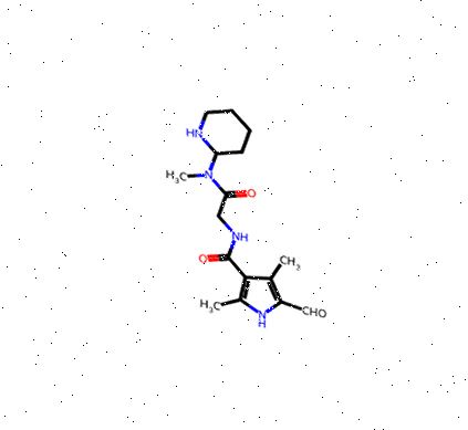 Cc1[nH]c(C=O)c(C)c1C(=O)NCC(=O)N(C)C1CCCCN1